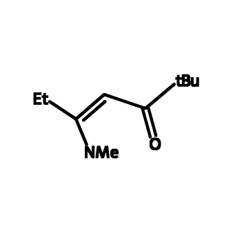 CCC(=CC(=O)C(C)(C)C)NC